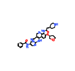 N#Cc1cnc2c(NC(=O)C=C3CCNCC3)c(OC3CCOC3)ccc2c1Nc1ncc(NC(=O)c2ccccc2)cn1